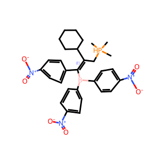 C[PH](C)(C)C/C(=C(\B(c1ccc([N+](=O)[O-])cc1)c1ccc([N+](=O)[O-])cc1)c1ccc([N+](=O)[O-])cc1)C1CCCCC1